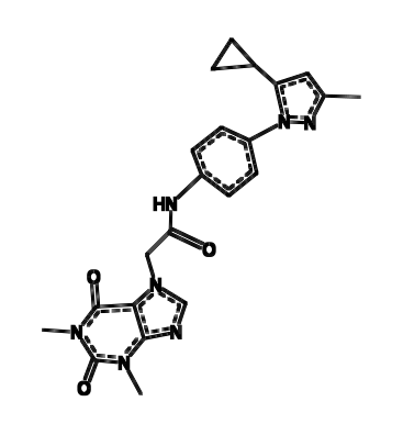 Cc1cc(C2CC2)n(-c2ccc(NC(=O)Cn3cnc4c3c(=O)n(C)c(=O)n4C)cc2)n1